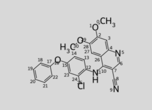 COc1cc2ncc(C#N)c(Nc3ccc(Oc4ccccc4)cc3Cl)c2cc1OC